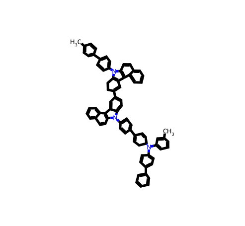 Cc1ccc(-c2ccc(-n3c4c(c5c6ccccc6ccc53)C=C(c3ccc5c(c3)c3c6ccccc6ccc3n5-c3ccc(C5=CCC(N(c6ccc(-c7ccccc7)cc6)c6cccc(C)c6)C=C5)cc3)CC4)cc2)cc1